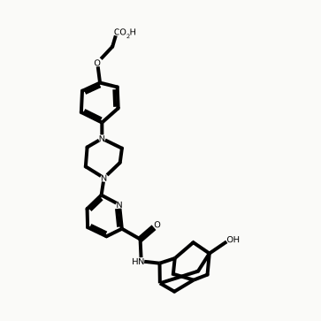 O=C(O)COc1ccc(N2CCN(c3cccc(C(=O)NC4C5CC6CC4CC(O)(C6)C5)n3)CC2)cc1